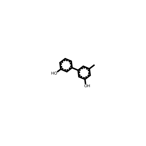 Cc1cc(O)cc(-c2cccc(O)c2)c1